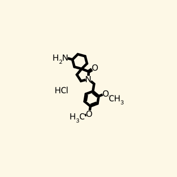 COc1ccc(CN2CCC3(CCCC(N)C3)C2=O)c(OC)c1.Cl